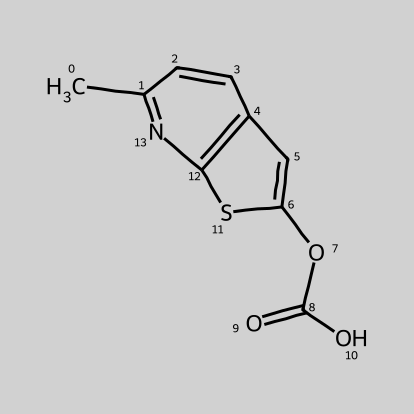 Cc1ccc2cc(OC(=O)O)sc2n1